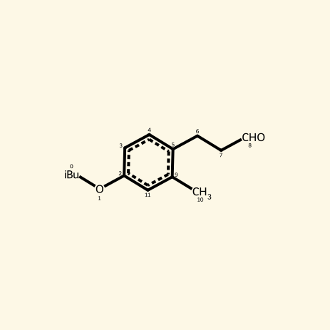 CCC(C)Oc1ccc(CCC=O)c(C)c1